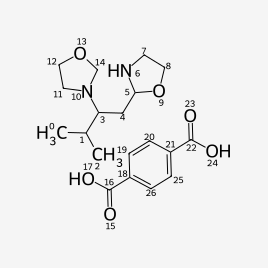 CC(C)C(CC1NCCO1)N1CCOC1.O=C(O)c1ccc(C(=O)O)cc1